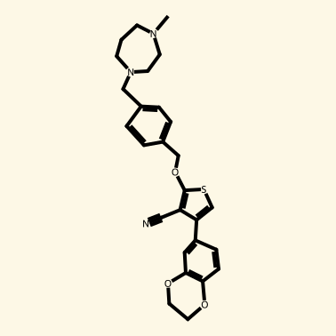 CN1CCCN(Cc2ccc(COc3scc(-c4ccc5c(c4)OCCO5)c3C#N)cc2)CC1